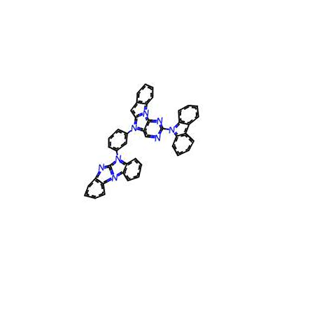 c1cc(-n2c3cnc(-n4c5ccccc5c5ccccc54)nc3n3c4ccccc4cc23)cc(-n2c3ccccc3n3c4ccccc4nc23)c1